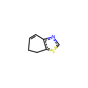 C1=Cc2ncsc2CC1